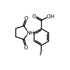 O=C(O)c1ccc(F)cc1.O=C1CCC(=O)N1